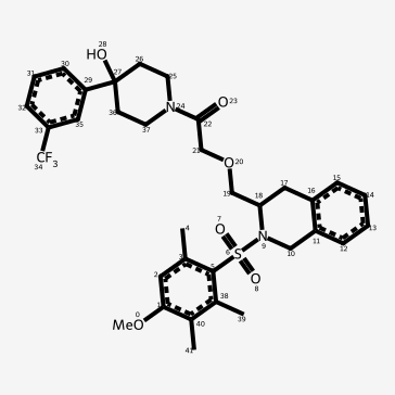 COc1cc(C)c(S(=O)(=O)N2Cc3ccccc3CC2COCC(=O)N2CCC(O)(c3cccc(C(F)(F)F)c3)CC2)c(C)c1C